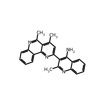 Cc1nc2ccccc2c(N)c1-c1cc(C)c2c(C)nc3ccccc3c2n1